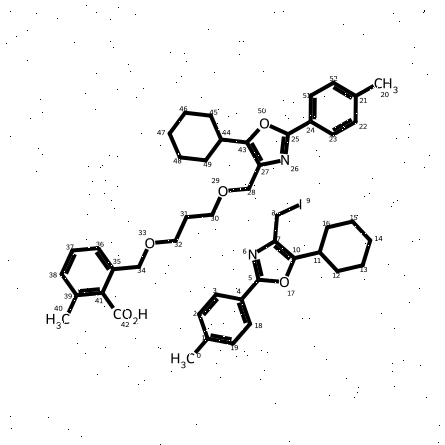 Cc1ccc(-c2nc(CI)c(C3CCCCC3)o2)cc1.Cc1ccc(-c2nc(COCCCOCc3cccc(C)c3C(=O)O)c(C3CCCCC3)o2)cc1